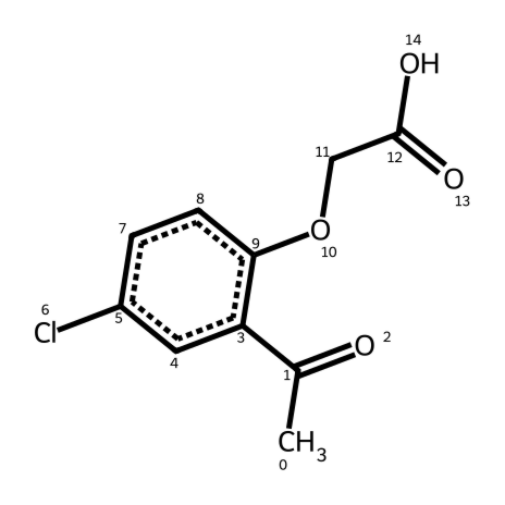 CC(=O)c1cc(Cl)ccc1OCC(=O)O